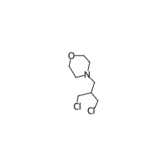 ClCC(CCl)CN1CCOCC1